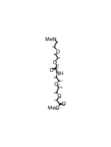 CNCCOCCOCC(=O)NCCOCCOCC(=O)OC